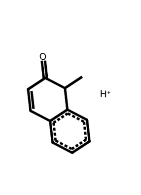 CC1C(=O)C=Cc2ccccc21.[H+]